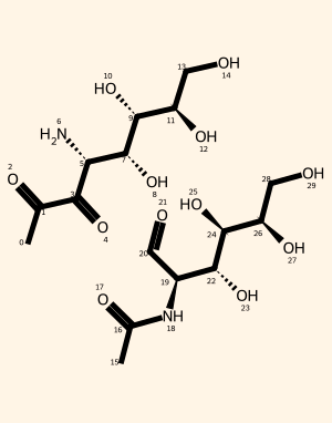 CC(=O)C(=O)[C@H](N)[C@@H](O)[C@H](O)[C@H](O)CO.CC(=O)N[C@@H](C=O)[C@@H](O)[C@@H](O)[C@H](O)CO